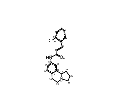 O=C(C=Cc1ccccc1Cl)Nc1ccc2c(c1)C1CCCN1CC2